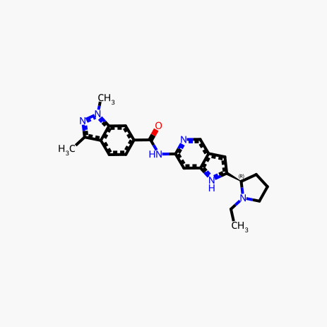 CCN1CCC[C@@H]1c1cc2cnc(NC(=O)c3ccc4c(C)nn(C)c4c3)cc2[nH]1